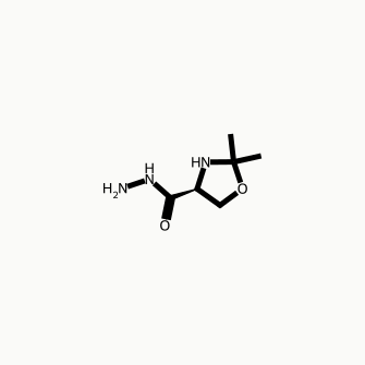 CC1(C)N[C@H](C(=O)NN)CO1